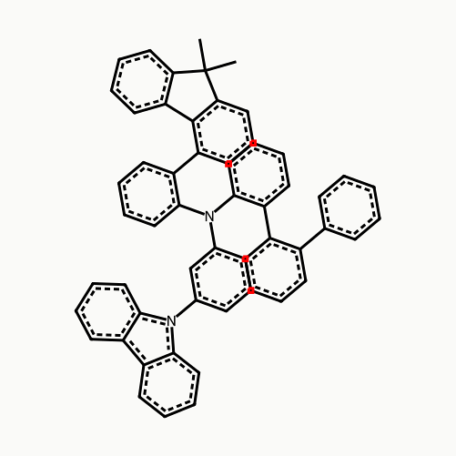 CC1(C)c2ccccc2-c2c(-c3ccccc3N(c3cccc(-n4c5ccccc5c5ccccc54)c3)c3ccccc3-c3ccccc3-c3ccccc3)cccc21